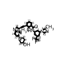 Cc1cn(-c2cc(NC(=O)c3cccc(C#Cc4cnc5ccc(N6CCC(O)CC6)nn45)c3C)cc(C(F)(F)F)c2)cn1